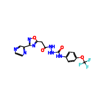 O=C(Cc1nc(-c2cnccn2)no1)NNC(=O)Nc1ccc(OC(F)(F)F)cc1